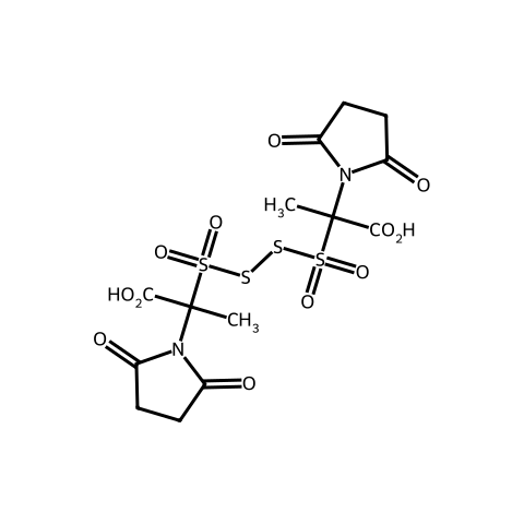 CC(C(=O)O)(N1C(=O)CCC1=O)S(=O)(=O)SSS(=O)(=O)C(C)(C(=O)O)N1C(=O)CCC1=O